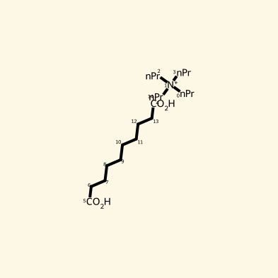 CCC[N+](CCC)(CCC)CCC.O=C(O)CCCCCCCCC(=O)O